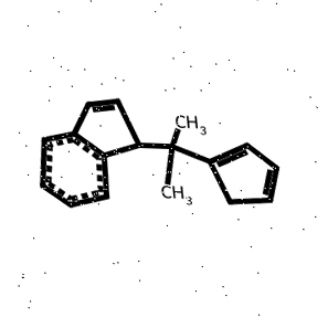 CC(C)(C1=CC=CC1)C1C=Cc2ccccc21